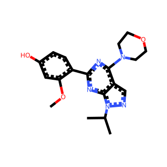 COc1cc(O)ccc1-c1nc(N2CCOCC2)c2cnn(C(C)C)c2n1